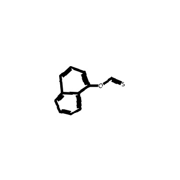 S=[C]Oc1cccc2ccccc12